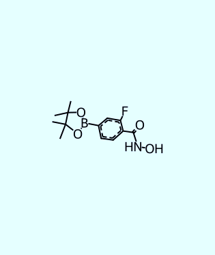 CC1(C)OB(c2ccc(C(=O)NO)c(F)c2)OC1(C)C